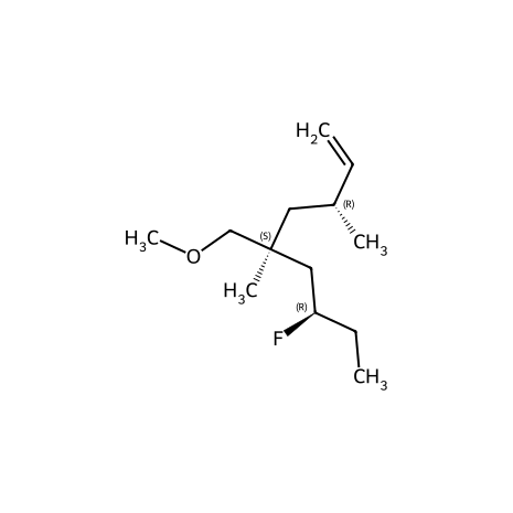 C=C[C@H](C)C[C@](C)(COC)C[C@H](F)CC